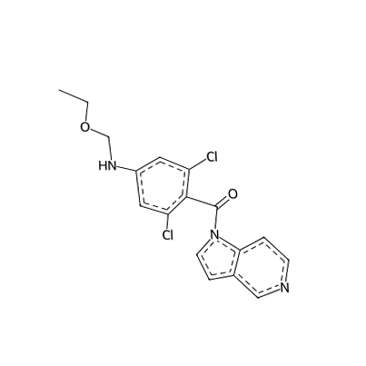 CCOCNc1cc(Cl)c(C(=O)n2ccc3cnccc32)c(Cl)c1